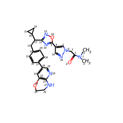 CN(C)C(=O)Cn1cc(-c2nc(C(Cc3ccc(-c4cnc5c(c4)OCCN5)cc3)C3CC3)no2)cn1